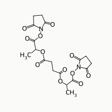 CC(OC(=O)CCC(=O)OC(C)C(=O)ON1C(=O)CCC1=O)C(=O)ON1C(=O)CCC1=O